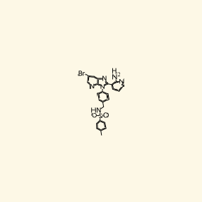 Cc1ccc(S(=O)(=O)NCc2ccc(-n3c(-c4cccnc4N)nc4cc(Br)cnc43)cc2)cc1